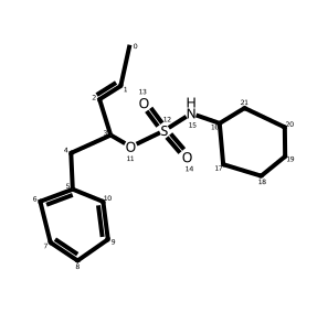 CC=CC(Cc1ccccc1)OS(=O)(=O)NC1CCCCC1